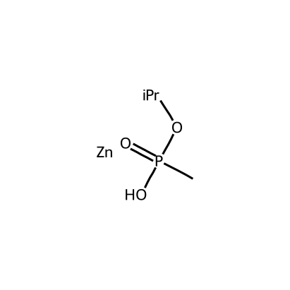 CC(C)OP(C)(=O)O.[Zn]